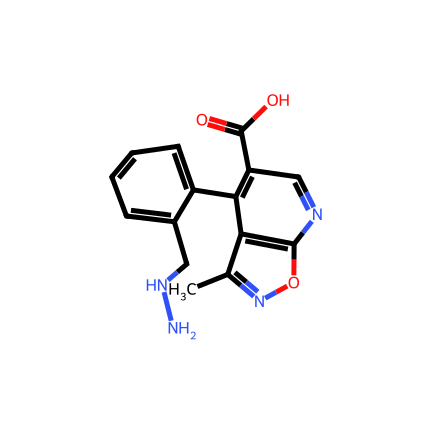 Cc1noc2ncc(C(=O)O)c(-c3ccccc3CNN)c12